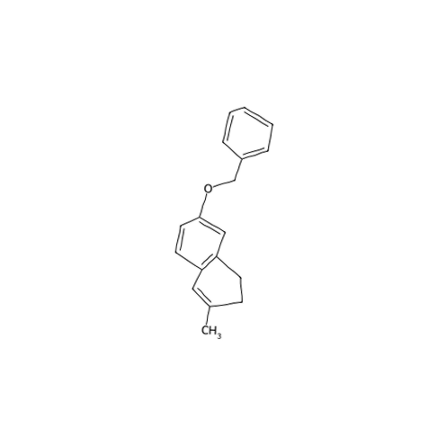 CC1=Cc2ccc(OCc3ccccc3)cc2CC1